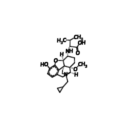 CO[C@@]12CC[C@@H](N[C@@H](C(=O)O)C(C)C)[C@@H]3Oc4c(O)ccc5c4[C@@]31CCN(CC1CC1)[C@@H]2C5